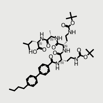 CCCCc1ccc(-c2ccc(C(=O)N[C@@H](CCNC(=O)OC(C)(C)C)C(=O)N[C@@H](CCNC(=O)OC(C)(C)C)C(=O)N[C@@H](C)C(=O)N[C@@H](CC(C)C)C(=O)O)cc2)cc1